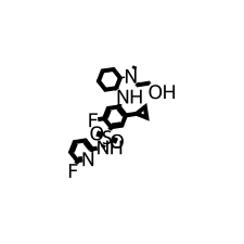 CN(CCO)[C@H]1CCCCC1Nc1cc(F)c(S(=O)(=O)Nc2cccc(F)n2)cc1C1CC1